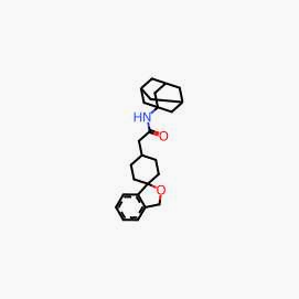 O=C(CC1CCC2(CC1)OCc1ccccc12)NC12CC3CC(CC(C3)C1)C2